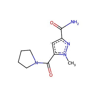 Cn1nc(C(N)=O)[c]c1C(=O)N1CCCC1